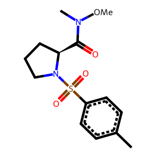 CON(C)C(=O)[C@@H]1CCCN1S(=O)(=O)c1ccc(C)cc1